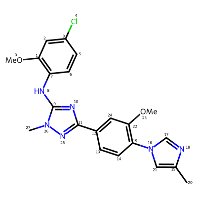 COc1cc(Cl)ccc1Nc1nc(-c2ccc(-n3cnc(C)c3)c(OC)c2)nn1C